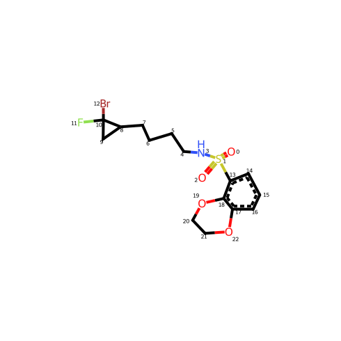 O=S(=O)(NCCCCC1CC1(F)Br)c1cccc2c1OCCO2